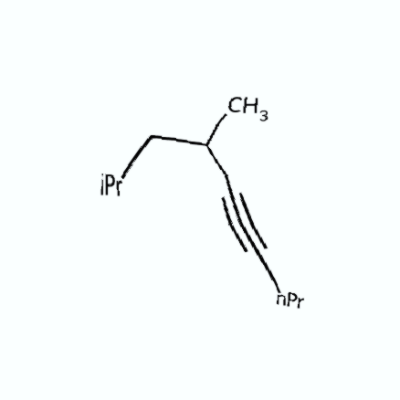 [CH2]C(C)CC(C)C#CCCC